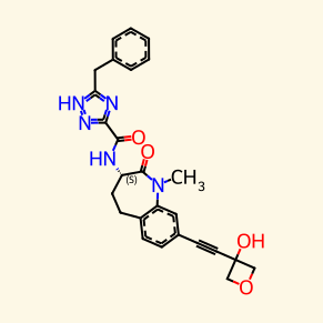 CN1C(=O)[C@@H](NC(=O)c2n[nH]c(Cc3ccccc3)n2)CCc2ccc(C#CC3(O)COC3)cc21